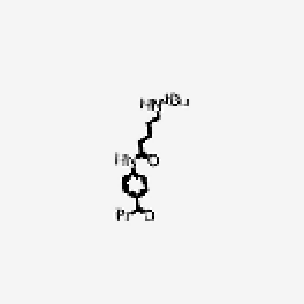 CC(C)C(=O)c1ccc(NC(=O)CCCCNC(C)(C)C)cc1